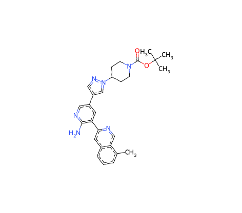 Cc1cccc2cc(-c3cc(-c4cnn(C5CCN(C(=O)OC(C)(C)C)CC5)c4)cnc3N)ncc12